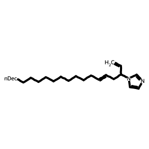 C=CC(CC=CCCCCCCCCCCCCCCCCCCCC)n1ccnc1